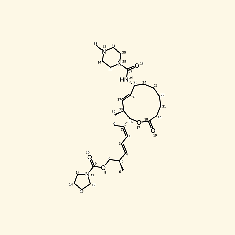 C/C(=C\C=C\[C@@H](C)COC(=O)N1CCCC1)[C@H]1OC(=O)CCCCC[C@@H](NC(=O)N2CCN(C)CC2)/C=C/[C@@H]1C